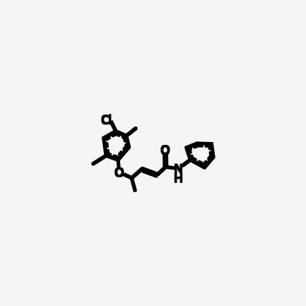 Cc1cc(OC(C)C=CC(=O)Nc2ccccc2)c(C)cc1Cl